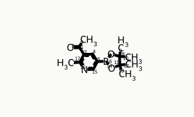 CC(=O)c1cc(B2OC(C)(C)C(C)(C)O2)cnc1C